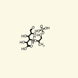 CC(O)CO.O=CC(O)C(O)C(O)C(O)C(=O)O.O=S(=O)(O)O